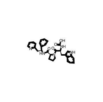 O=C(O)N[C@@H](Cc1c[nH]c2ccccc12)C(=O)N1CCC[C@H]1C(=O)N[C@@H](Cc1ccccn1)c1ccccc1